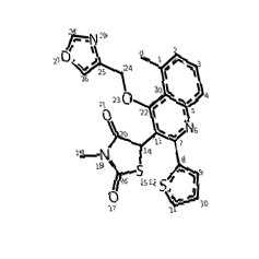 Cc1cccc2nc(-c3cccs3)c(C3SC(=O)N(C)C3=O)c(OCc3cocn3)c12